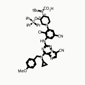 COc1ccc(CN(c2nc(Nc3cc(C#N)cc(N4CC[C@@H](N(C(=O)O)C(C)(C)C)[C@H](O[Si](C(C)C)(C(C)C)C(C)C)C4)c3Cl)nn3c(C#N)cnc23)C2CC2)cc1